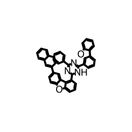 c1ccc(C2=NC(c3cccc4oc5ccc(-c6ccc7ccccc7c6)cc5c34)NC(c3cccc4c3oc3ccccc34)=N2)cc1